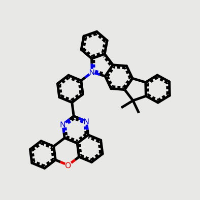 CC1(C)c2ccccc2-c2cc3c4ccccc4n(-c4cccc(-c5nc6c7c(cccc7n5)Oc5ccccc5-6)c4)c3cc21